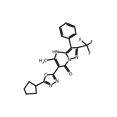 Cc1[nH]c2c(-c3ccccc3)c(C(F)(F)F)nn2c(=O)c1-c1nnc(C2CCCC2)o1